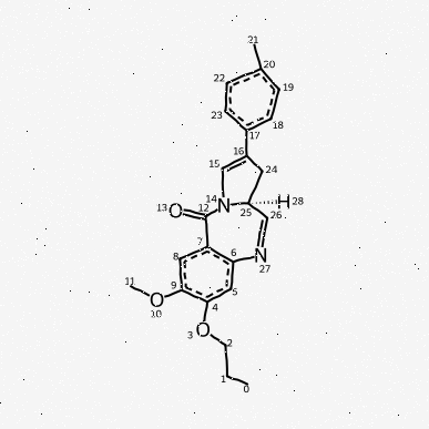 CCCOc1cc2c(cc1OC)C(=O)N1C=C(c3ccc(C)cc3)C[C@H]1C=N2